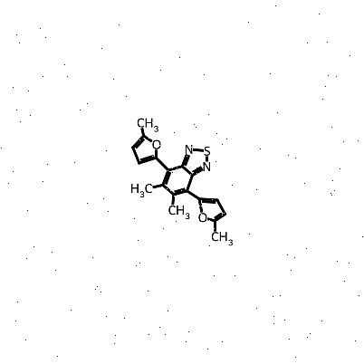 Cc1ccc(-c2c(C)c(C)c(-c3ccc(C)o3)c3nsnc23)o1